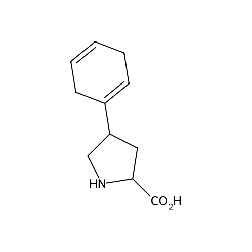 O=C(O)C1CC(C2=CCC=CC2)CN1